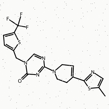 Cc1cnc(C2=CCN(c3ncn(Cc4ccc(C(F)(F)F)s4)c(=O)n3)CC2)s1